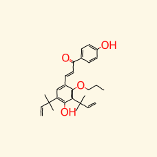 C=CC(C)(C)c1cc(C=CC(=O)c2ccc(O)cc2)c(OCCC)c(C(C)(C)C=C)c1O